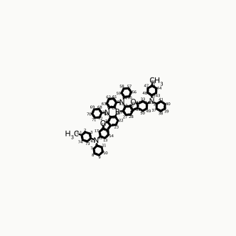 Cc1ccc(N(c2ccccc2)c2ccc3c(c2)oc2c4c(ccc23)B2c3ccc5c(oc6cc(N(c7ccccc7)c7ccc(C)cc7)ccc65)c3N(c3ccccc3)c3cccc(c32)N4c2ccccc2)cc1